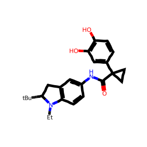 CCN1c2ccc(NC(=O)C3(c4ccc(O)c(O)c4)CC3)cc2CC1C(C)(C)C